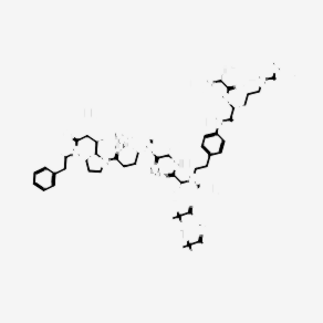 CC[C@H](C)[C@@H]([C@@H](CC(=O)N1CCC[C@H]1[C@H](OC)[C@@H](C)C(=O)N[C@@H](Cc1ccccc1)C(=O)O)OC)N(C)C(=O)[C@@H](NC(=O)[C@H](C(C)C)N(C)CCc1ccc(NC(=O)[C@H](CCCNC(N)=O)NC(=O)[C@@H](N)C(C)C)cc1)C(C)C.O=C(O)C(F)(F)F.O=C(O)C(F)(F)F